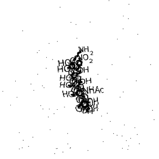 CC(=O)N[C@H]1C(O[C@@H]2OC(CO)[C@H](O)C(O)[C@@H]2O)[C@@H](O)C(CO)O[C@H]1O[C@@H]1C(O)[C@@H](O[C@H]2C(CO)O[C@@H](O[C@@H]3C(COc4ccc([N+](=O)[O-])cc4)O[C@@H](OCCCCCN)[C@@H](O)C3O)[C@@H](O)C2O)OC(CO)[C@@H]1O